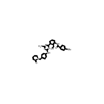 CC(C)(C)c1ccc(C(=O)Nc2cccc(-c3nc(N)nc(Nc4ccc(Cn5ccccc5=O)cc4)n3)c2CO)cc1